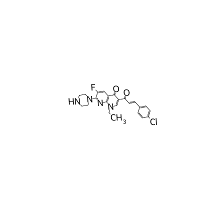 CCn1cc(C(=O)C=Cc2ccc(Cl)cc2)c(=O)c2cc(F)c(N3CCNCC3)nc21